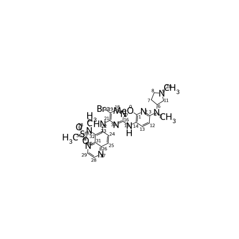 COc1nc(N(C)C2CCN(C)C2)ccc1Nc1ncc(Br)c(Nc2ccc3nccnc3c2N(C)S(C)(=O)=O)n1